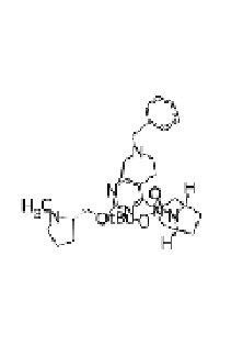 CN1CCC[C@H]1COc1nc2c(c(N3C[C@H]4CC[C@@H](C3)N4C(=O)OC(C)(C)C)n1)CCN(Cc1ccccc1)C2